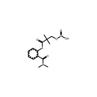 CN(C)C(=O)c1ccccc1SC(=O)C(C)(C)CO[N+](=O)O